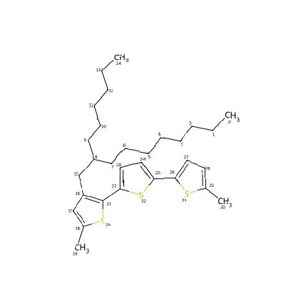 CCCCCCCCC(CCCCCC)Cc1cc(C)sc1-c1ccc(-c2ccc(C)s2)s1